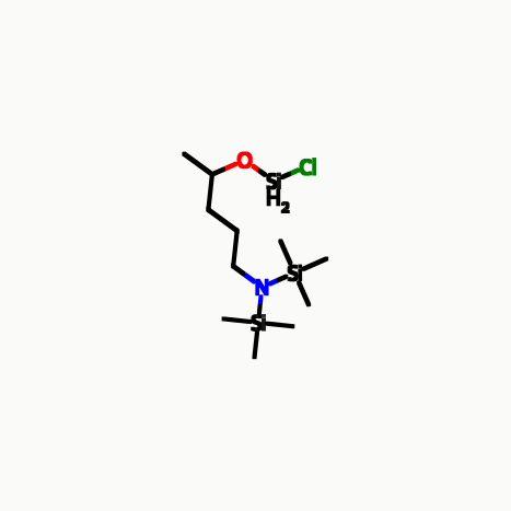 CC(CCCN([Si](C)(C)C)[Si](C)(C)C)O[SiH2]Cl